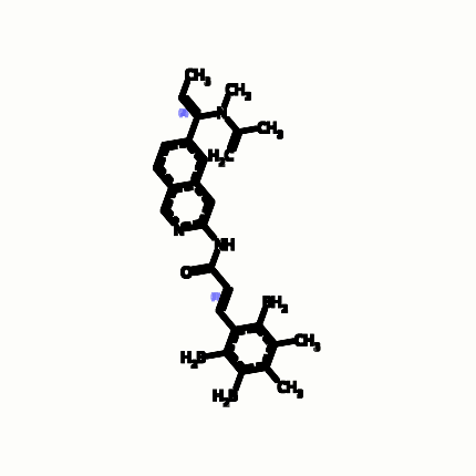 Bc1c(B)c(/C=C/C(=O)Nc2cc3cc(/C(=C/C)N(C)C(=C)C)ccc3cn2)c(B)c(C)c1C